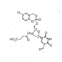 O=C(O)CCC(=O)O[C@@H]1C[C@H](n2cc(C=S)c(=O)[nH]c2=O)O[C@@H]1COP1(=O)OCc2cc(Cl)ccc2O1